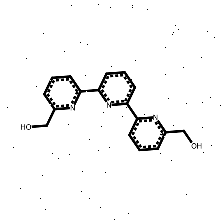 OCc1cccc(-c2cccc(-c3cccc(CO)n3)n2)n1